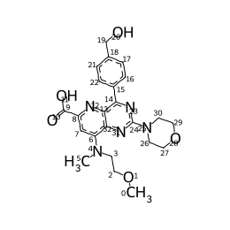 COCCN(C)c1cc(C(=O)O)nc2c(-c3ccc(CO)cc3)nc(N3CCOCC3)nc12